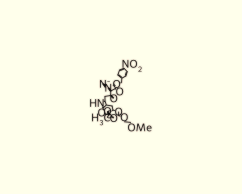 COCCOCOC(CC1C(=O)NC1CC(=O)C(=[N+]=[N-])C(=O)OCc1ccc([N+](=O)[O-])cc1)S(C)(=O)=O